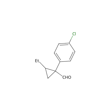 CCC1CC1(C=O)c1ccc(Cl)cc1